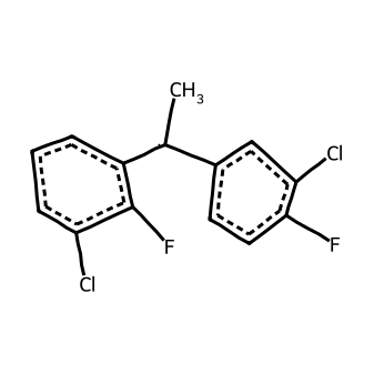 C[C](c1ccc(F)c(Cl)c1)c1cccc(Cl)c1F